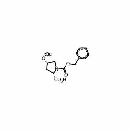 CC(C)(C)O[C@H]1C[C@@H](C(=O)O)N(C(=O)OCc2ccccc2)C1